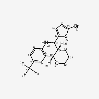 FC(F)(F)c1ccc2c(c1)[C@H]1OCCC[C@H]1C(c1ccc(Br)s1)N2